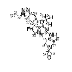 [2H]C([2H])([2H])Oc1nc(N[C@@H]2CCN(C3COC3)C[C@@H]2F)nn2cc(F)c(-c3ccc4nnn(CCF)c4c3)c12